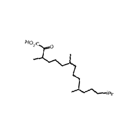 CC(C)CCCC(C)CCCC(C)CCCC(C)C(=O)C(=O)O